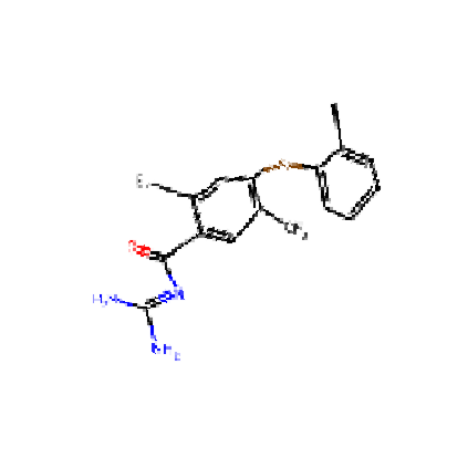 CCc1cc(Sc2ccccc2C)c(C(F)(F)F)cc1C(=O)N=C(N)N